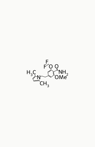 COc1cc(CCn2c(C)ccc2C)cc(OC(F)F)c1C(N)=O